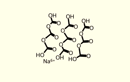 O=C(O)OC(=O)OC(=O)O.O=C(O)OC(=O)OC(=O)O.O=C(O)OC(=O)OC(=O)O.[Na+6]